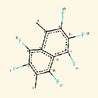 Cc1c(F)c(F)c2c(C)c(F)c(F)c(F)c2c1F